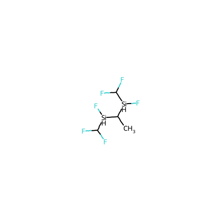 CC([SiH](F)C(F)F)[SiH](F)C(F)F